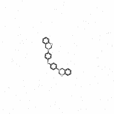 c1ccc2c(c1)CN(c1ccc(Sc3ccc(N4COc5ccccc5C4)cc3)cc1)CO2